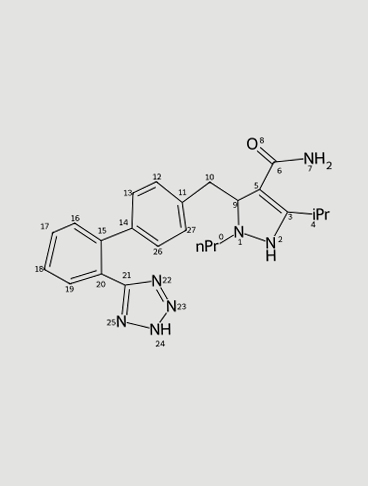 CCCN1NC(C(C)C)=C(C(N)=O)C1Cc1ccc(-c2ccccc2-c2nn[nH]n2)cc1